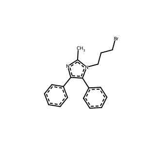 Cc1nc(-c2ccccc2)c(-c2ccccc2)n1CCCBr